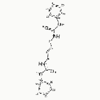 O=C(NCC=CCNC(=O)Oc1ccccc1)Oc1ccccc1